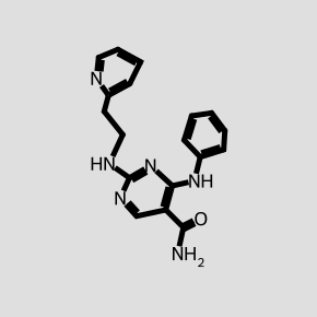 NC(=O)c1cnc(NCCc2ccccn2)nc1Nc1ccccc1